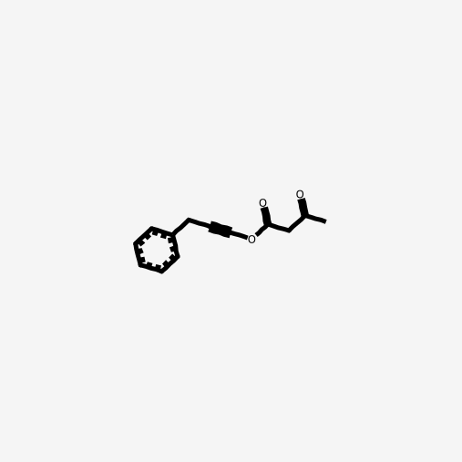 CC(=O)CC(=O)OC#CCc1ccccc1